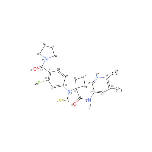 CN(C(=O)C1(N(C=S)c2ccc(C(=O)N3CCCC3)c(F)c2)CCC1)c1cnc(C#N)c(C(F)(F)F)c1